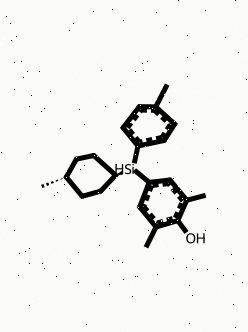 Cc1ccc([SiH](c2cc(C)c(O)c(C)c2)[C@H]2CC[C@@H](C)CC2)cc1